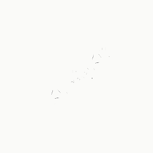 O=C(OC[C@@H](O)[C@@H](O)[C@H](O)[C@@H](O)C(=O)C(=O)c1cc(O)c(O)c(O)c1)c1cc(O)c(O)c(O)c1